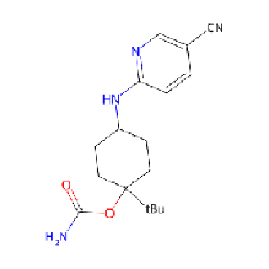 CC(C)(C)C1(OC(N)=O)CCC(Nc2ccc(C#N)cn2)CC1